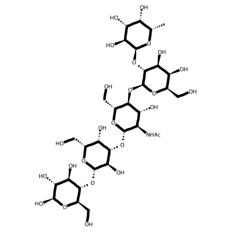 CC(=O)N[C@H]1[C@H](O[C@H]2[C@@H](O)[C@@H](CO)O[C@@H](O[C@H]3[C@H](O)[C@@H](O)[C@H](O)O[C@@H]3CO)[C@@H]2O)O[C@H](CO)[C@@H](O[C@@H]2O[C@H](CO)[C@H](O)[C@H](O)[C@H]2O[C@@H]2O[C@@H](C)[C@@H](O)[C@@H](O)[C@@H]2O)[C@@H]1O